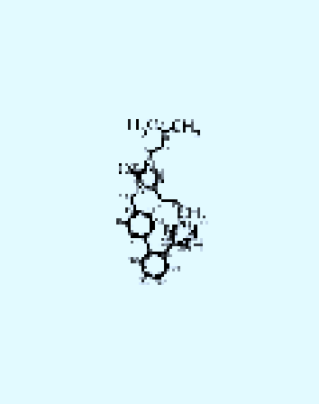 CCCc1nn(CCC(C)C)c(=O)n1Cc1ccc(-c2ccccc2-c2nnn[nH]2)cc1